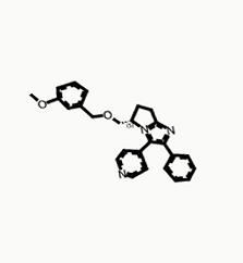 COc1cccc(COC[C@@H]2CCc3nc(-c4ccccc4)c(-c4ccncc4)n32)c1